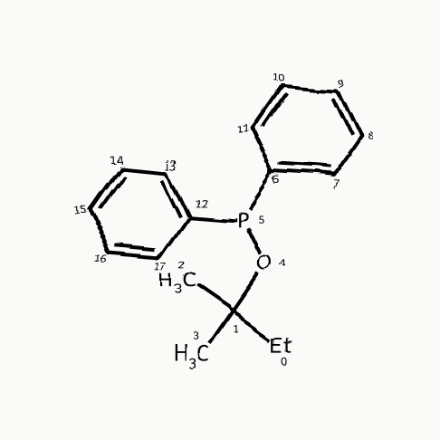 CCC(C)(C)OP(c1ccccc1)c1ccccc1